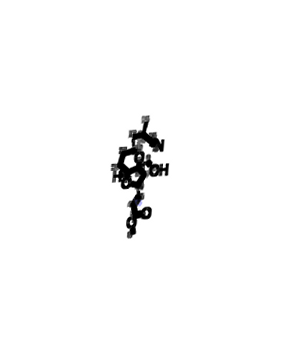 COC(=O)/C=C/[C@H]1C[C@]2(CO)O[C@@H](C[C@@H](C)C#N)CC[C@@H]2O1